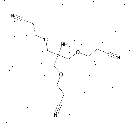 N#CCCOCC(N)(COCCC#N)COCCC#N